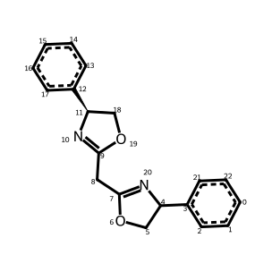 c1ccc(C2COC(CC3=N[C@@H](c4ccccc4)CO3)=N2)cc1